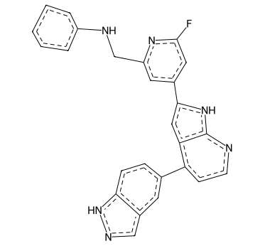 Fc1cc(-c2cc3c(-c4ccc5[nH]ncc5c4)ccnc3[nH]2)cc(CNc2ccccc2)n1